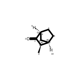 C[C@H]1C(=O)[C@H]2CC[C@@H]1C2